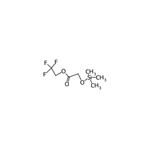 C[Si](C)(C)OCC(=O)OCC(F)(F)F